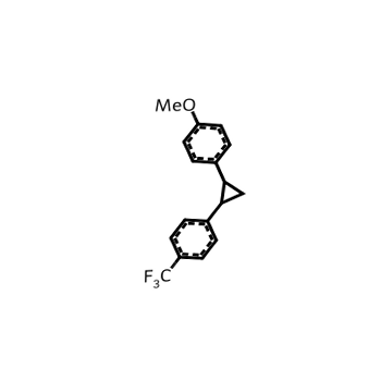 COc1ccc(C2CC2c2ccc(C(F)(F)F)cc2)cc1